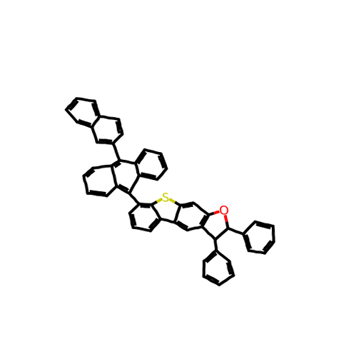 c1ccc(C2Oc3cc4sc5c(-c6c7ccccc7c(-c7ccc8ccccc8c7)c7ccccc67)cccc5c4cc3C2c2ccccc2)cc1